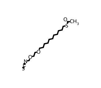 CC(=O)SCCCCCCCCCCCOCCOCN=C=S